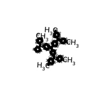 Cc1ccc(N(c2ccccc2)c2ccc(N(c3ccc(N(c4ccc(C)cc4)c4ccc(C)cc4)cc3)c3ccc(N(c4ccc(C)cc4)c4ccc(C)cc4)cc3)cc2)cc1